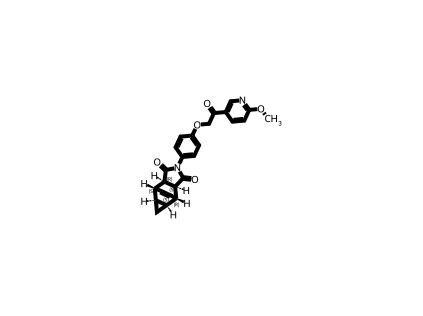 COc1ccc(C(=O)COc2ccc(N3C(=O)[C@@H]4[C@@H]5C=C[C@@H]([C@H]6C[C@@H]56)[C@@H]4C3=O)cc2)cn1